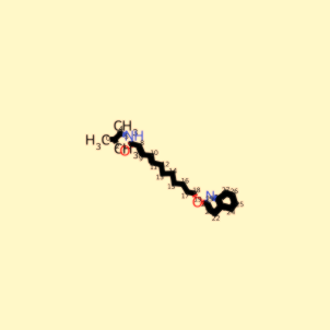 CC(C)C(C)NC(=O)C=CC=CCCCCCCCOc1ccc2ccccc2n1